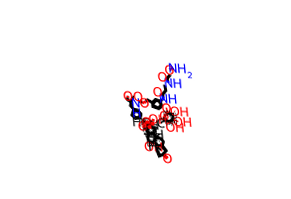 C[C@]12C=CC(=O)C=C1CC[C@@H]1[C@@H]2[C@@H](O)C[C@@]2(C)[C@H]1C[C@H]1O[C@@H](c3ccc(CC4(NC(=O)OCc5ccc(O[C@@H]6O[C@H](C(=O)O)[C@@H](O)[C@H](O)[C@H]6O)c(NC(=O)CCNC(=O)CON)c5)COC4)cc3)O[C@]12C(=O)CO